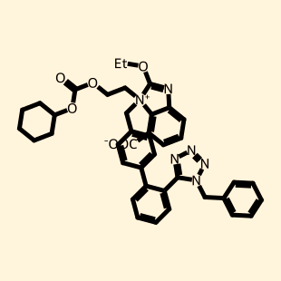 CCOC1=Nc2cccc(C(=O)[O-])c2[N+]1(CCOC(=O)OC1CCCCC1)Cc1ccc(-c2ccccc2-c2nnnn2Cc2ccccc2)cc1